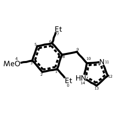 CCc1cc(OC)cc(CC)c1Cc1ncc[nH]1